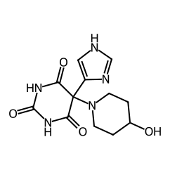 O=C1NC(=O)C(c2c[nH]cn2)(N2CCC(O)CC2)C(=O)N1